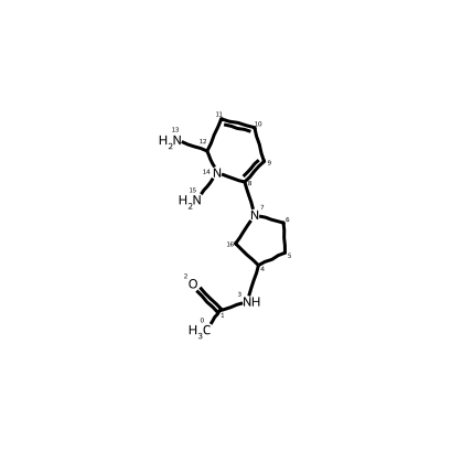 CC(=O)NC1CCN(C2=CC=CC(N)N2N)C1